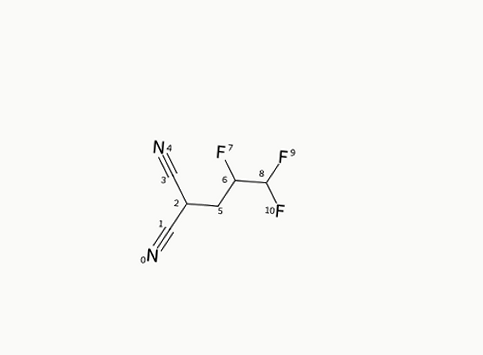 N#CC(C#N)CC(F)C(F)F